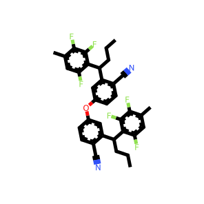 CCCC(c1cc(Oc2ccc(C#N)c(C(CCC)c3c(F)cc(C)c(F)c3F)c2)ccc1C#N)c1c(F)cc(C)c(F)c1F